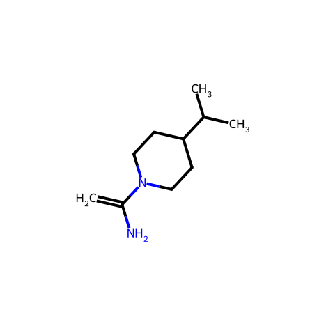 C=C(N)N1CCC(C(C)C)CC1